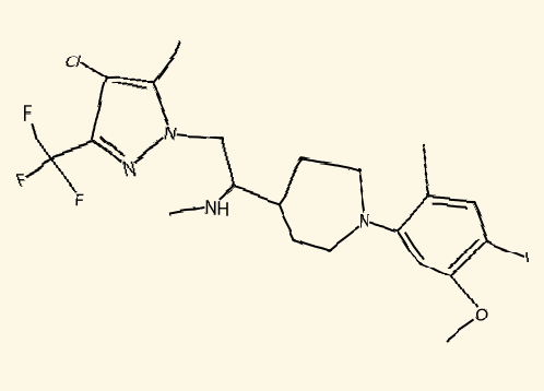 CNC(Cn1nc(C(F)(F)F)c(Cl)c1C)C1CCN(c2cc(OC)c(I)cc2C)CC1